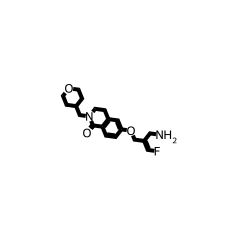 NC/C(=C\F)COc1ccc2c(c1)CCN(CC1CCOCC1)C2=O